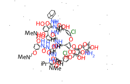 CNCCOc1ccc(OCCNC)c(NC(=O)NC(=O)C[C@@H]2NC(=O)[C@H](NC(=O)[C@@H](CC(C)C)NC)[C@H](O)c3ccc(c(Cl)c3)Oc3cc4cc(c3O[C@@H]3O[C@H](CO)[C@@H](O)[C@H](O)[C@H]3O[C@H]3C[C@](C)(N)[C@H](O)[C@H](C)O3)Oc3ccc(cc3Cl)[C@@H](O)[C@@H]3NC(=O)[C@H](NC(=O)[C@@H]4NC2=O)c2ccc(O)c(c2)-c2c(O)cc(O)cc2[C@@H](C(=O)NC2C4CC5CC(C4)CC2C5)NC3=O)c1